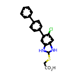 O=C(O)CSC1Nc2cc(Cl)c(-c3ccc(-c4ccccc4)cc3)cc2N1